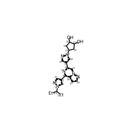 CCC(CC)n1cc(-c2nc(-c3cnn(C4CC(O)C(O)C4)c3)cn3nccc23)cn1